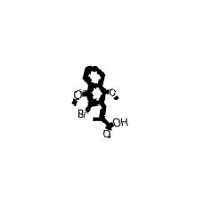 COc1c(Br)c(C=C(C)C(=O)O)c(OC)c2ccccc12